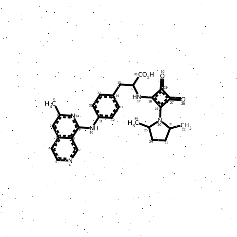 Cc1cc2ccncc2c(Nc2ccc(CC(Nc3c(N4C(C)CCC4C)c(=O)c3=O)C(=O)O)cc2)n1